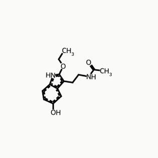 CCOc1[nH]c2ccc(O)cc2c1CCNC(C)=O